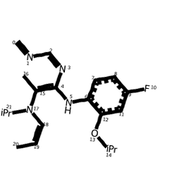 C=N/C=N\C(Nc1ccc(F)cc1OC(C)C)=C(/C)N(/C=C\C)C(C)C